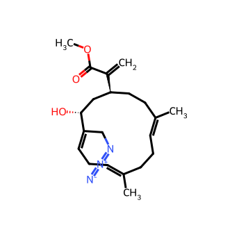 C=C(C(=O)OC)[C@H]1CC/C(C)=C/CC/C(C)=C/C/C=C(\CN=[N+]=[N-])[C@H](O)C1